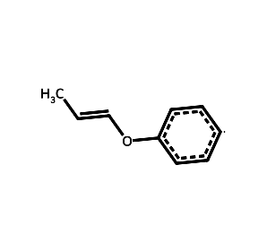 CC=COc1cc[c]cc1